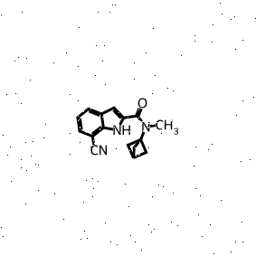 CN(C(=O)c1cc2cccc(C#N)c2[nH]1)C12CC(C1)C2